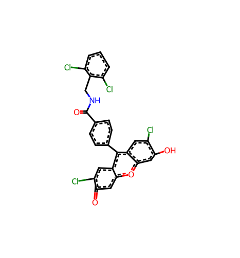 O=C(NCc1c(Cl)cccc1Cl)c1ccc(-c2c3cc(Cl)c(=O)cc-3oc3cc(O)c(Cl)cc23)cc1